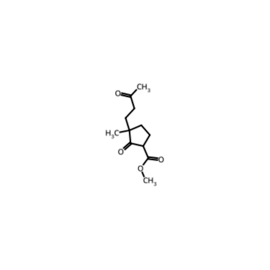 COC(=O)C1CCC(C)(CCC(C)=O)C1=O